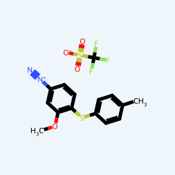 COc1cc([N+]#N)ccc1Sc1ccc(C)cc1.O=S(=O)([O-])C(F)(F)F